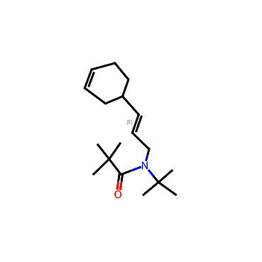 CC(C)(C)C(=O)N(C/C=C/C1CC=CCC1)C(C)(C)C